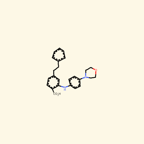 O=C(O)c1ccc(CCc2ccccc2)cc1Nc1ccc(N2CCOCC2)cc1